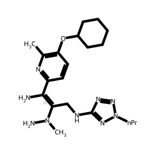 CCCn1nnc(NC/C(=C(/N)c2ccc(OC3CCCCC3)c(C)n2)N(C)N)n1